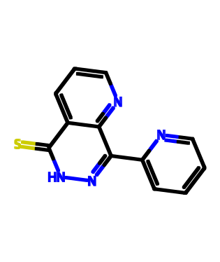 S=c1[nH]nc(-c2ccccn2)c2ncccc12